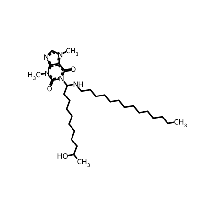 CCCCCCCCCCCCCCNC(CCCCCCCCC(C)O)n1c(=O)c2c(ncn2C)n(C)c1=O